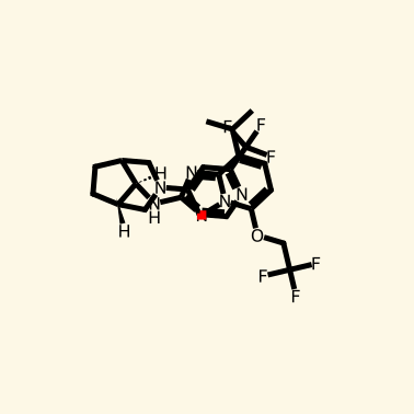 CC(C)c1ccc(OCC(F)(F)F)n2nc(N[C@@H]3C4CC[C@H]3CN(c3ccnc(C(F)(F)F)c3)C4)nc12